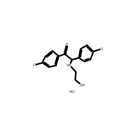 Cl.O=C(c1ccc(Cl)cc1)C(NCCO)c1ccc(Cl)cc1